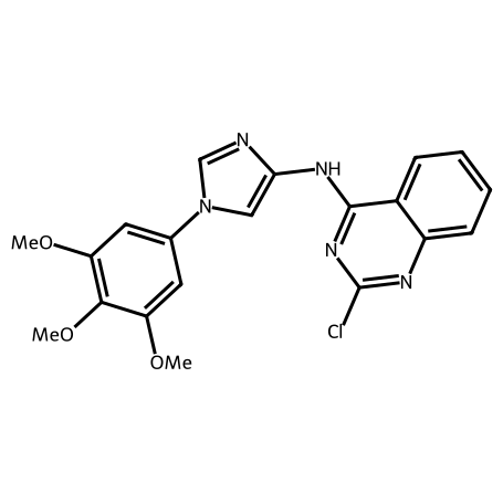 COc1cc(-n2cnc(Nc3nc(Cl)nc4ccccc34)c2)cc(OC)c1OC